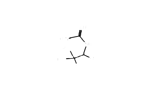 C=C(N)NC(C)C(C)(C)C